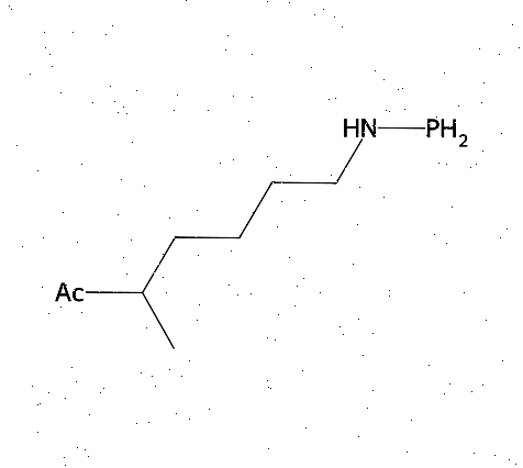 CC(=O)C(C)CCCCNP